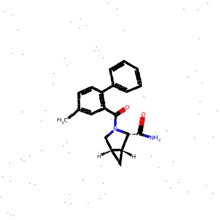 Cc1ccc(-c2ccccc2)c(C(=O)N2C[C@H]3C[C@H]3[C@H]2C(N)=O)c1